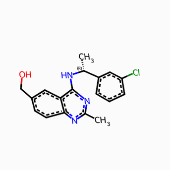 Cc1nc(N[C@H](C)c2cccc(Cl)c2)c2cc(CO)ccc2n1